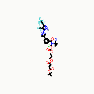 Cn1nc(C(F)(F)C(F)(F)F)c(C(F)(F)F)c1-n1cc(-c2ccc(Cl)c(C(=O)N(COC(=O)OCCCOC(=O)/C=C/C(=O)OC(C)(C)C)C3(C#N)CC3)c2)cn1